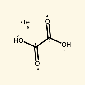 O=C(O)C(=O)O.[Te]